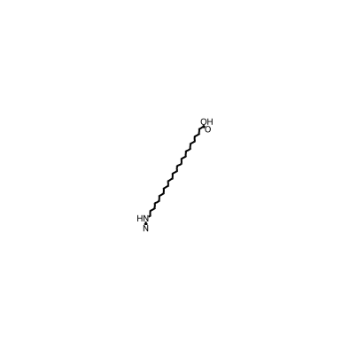 N#CNCCCCCCCCCCCCCCCCCCCCCCCCC(=O)O